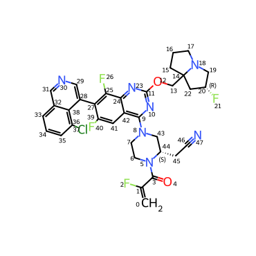 C=C(F)C(=O)N1CCN(c2nc(OCC34CCCN3C[C@H](F)C4)nc3c(F)c(-c4cncc5cccc(Cl)c45)c(F)cc23)C[C@@H]1CC#N